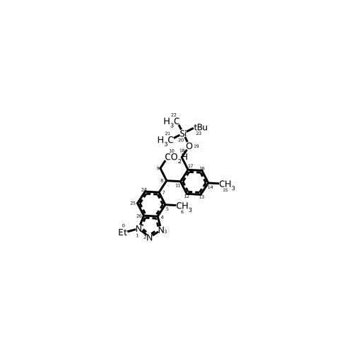 CCn1nnc2c(C)c(C(CC(=O)O)c3ccc(C)cc3CO[Si](C)(C)C(C)(C)C)ccc21